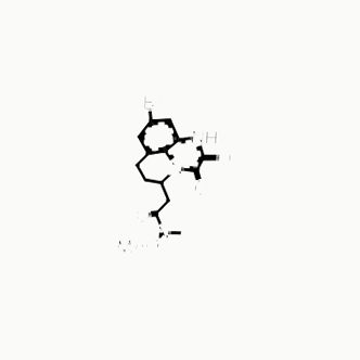 CON(C)C(=O)CC1CCc2cc(Br)cc3[nH]c(=O)c(=O)n1c23